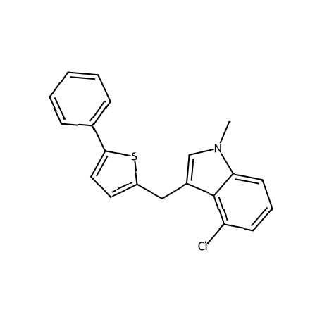 Cn1cc(Cc2ccc(-c3ccccc3)s2)c2c(Cl)cccc21